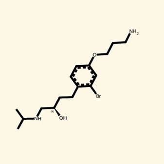 CC(C)NC[C@H](O)CCc1ccc(OCCCN)cc1Br